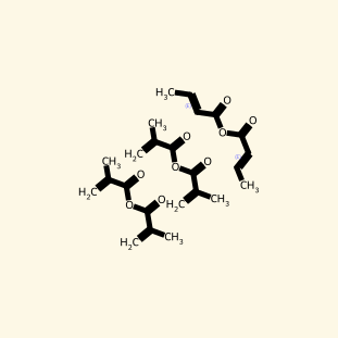 C/C=C/C(=O)OC(=O)/C=C/C.C=C(C)C(=O)OC(=O)C(=C)C.C=C(C)C(=O)OC(=O)C(=C)C